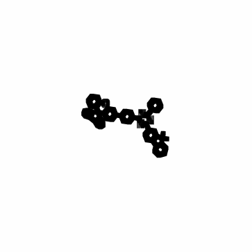 CC1(C)c2ccccc2-c2ccc(-c3nc(-c4ccccc4)nc(-c4ccc(-c5ccc6c(c5)Oc5ccccc5C65c6ccccc6-c6ccccc65)cc4)n3)cc21